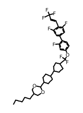 CCCCCC1COC(C2CCC(C3CCC(C(F)(F)Oc4ccc(-c5cc(F)c(/C=C/C(F)(F)F)c(F)c5)c(F)c4)CC3)CC2)OC1